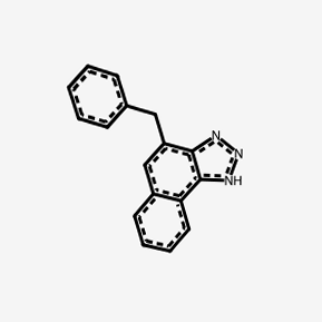 c1ccc(Cc2cc3ccccc3c3[nH]nnc23)cc1